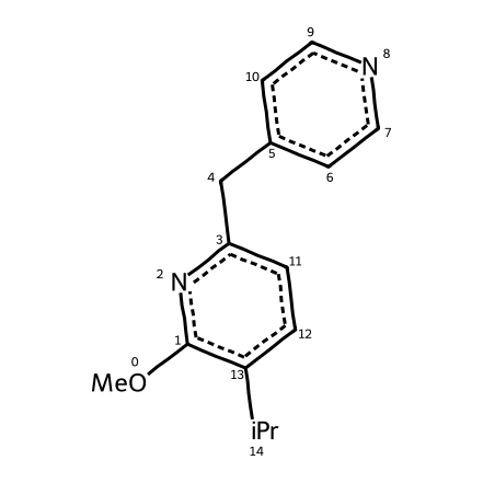 COc1nc(Cc2ccncc2)ccc1C(C)C